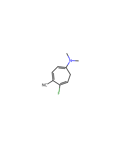 CN(C)C1=CC=C(C#N)C(F)=CC1